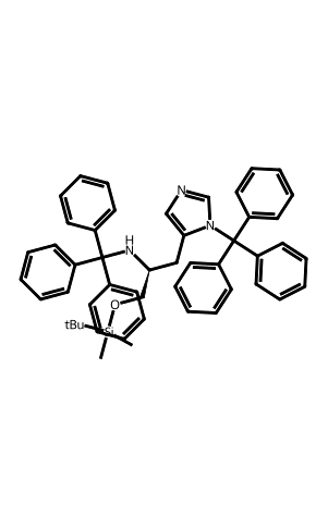 CC(C)(C)[Si](C)(C)OC[C@H](Cc1cncn1C(c1ccccc1)(c1ccccc1)c1ccccc1)NC(c1ccccc1)(c1ccccc1)c1ccccc1